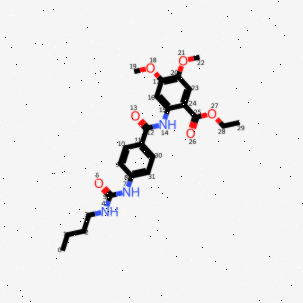 CCCCNC(=O)Nc1ccc(C(=O)Nc2cc(OC)c(OC)cc2C(=O)OCC)cc1